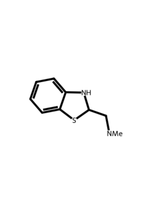 CNCC1Nc2ccccc2S1